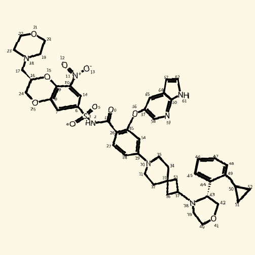 O=C(NS(=O)(=O)c1cc2c(c([N+](=O)[O-])c1)O[C@H](CN1CCOCC1)CO2)c1ccc(N2CCC3(CC2)CC(N2CCOC[C@H]2c2ccccc2C2CC2)C3)cc1Oc1cnc2[nH]ccc2c1